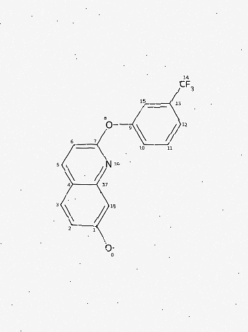 [O]c1ccc2ccc(Oc3cccc(C(F)(F)F)c3)nc2c1